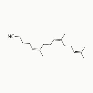 CC(C)=CCCC(C)=CCCC(C)=CCCCC#N